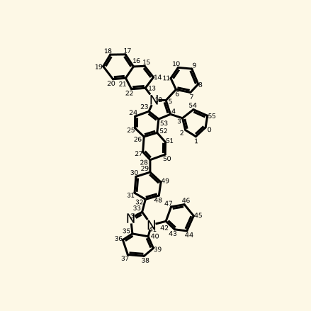 c1ccc(-c2c(-c3ccccc3)n(-c3ccc4ccccc4c3)c3ccc4cc(-c5ccc(-c6nc7ccccc7n6-c6ccccc6)cc5)ccc4c23)cc1